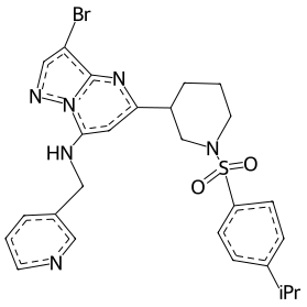 CC(C)c1ccc(S(=O)(=O)N2CCCC(c3cc(NCc4cccnc4)n4ncc(Br)c4n3)C2)cc1